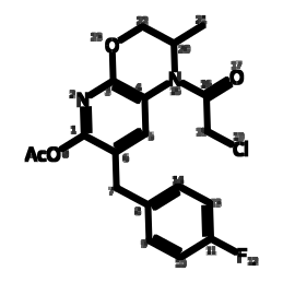 CC(=O)Oc1nc2c(cc1Cc1ccc(F)cc1)N(C(=O)CCl)C(C)CO2